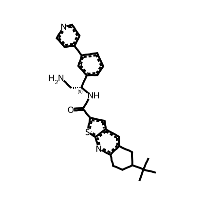 CC(C)(C)C1CCc2nc3sc(C(=O)N[C@H](CN)c4cccc(-c5ccncc5)c4)cc3cc2C1